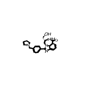 O=C1N[C@@H](CO)Cn2c(-c3ccc(CN4CCCC4)cc3)nc3cccc1c32